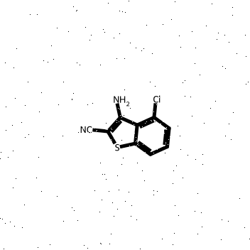 N#Cc1sc2cccc(Cl)c2c1N